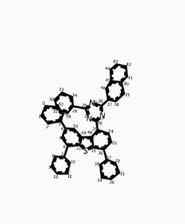 c1ccc(-c2cc(-c3ccccc3)c3sc4c(-c5ccccc5)ccc(-c5nc(-c6ccccc6)nc(-c6ccc7ccccc7c6)n5)c4c3c2)cc1